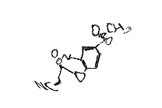 CS(=O)(=O)c1ccc(OC(=O)CC#N)c([N+](=O)[O-])c1